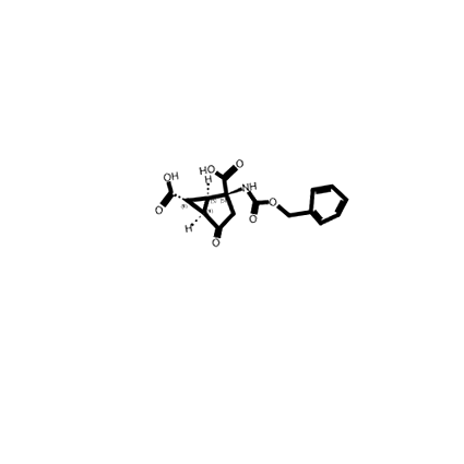 O=C(N[C@@]1(C(=O)O)CC(=O)[C@H]2[C@H](C(=O)O)[C@H]21)OCc1ccccc1